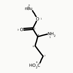 CCCCOC(=O)C(N)CCC(=O)O